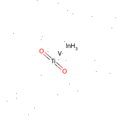 [InH3].[O]=[Ti]=[O].[V]